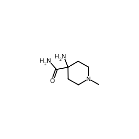 CN1CCC(N)(C(N)=O)CC1